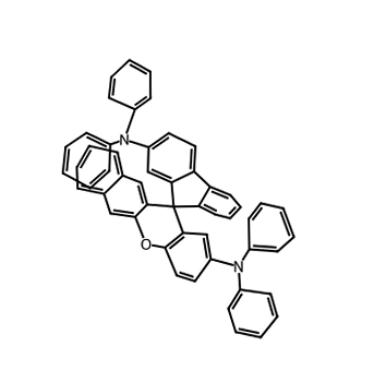 c1ccc(N(c2ccccc2)c2ccc3c(c2)C2(c4cc5ccccc5cc4O3)c3ccccc3-c3ccc(N(c4ccccc4)c4ccccc4)cc32)cc1